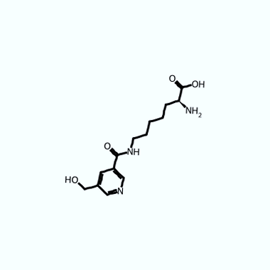 N[C@@H](CCCCCNC(=O)c1cncc(CO)c1)C(=O)O